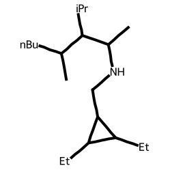 CCCCC(C)C(C(C)C)C(C)NCC1C(CC)C1CC